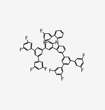 Fc1cc(F)cc(-c2cc(-c3cc(F)cc(F)c3)cc(-c3ccc4c(c3)c3cc(-c5cc(-c6cc(F)cc(F)c6)cc(-c6cc(F)cc(F)c6)c5)ccc3n4-c3ccccc3-c3cc(F)cc(F)c3)c2)c1